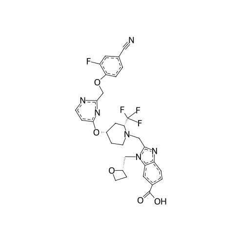 N#Cc1ccc(OCc2nccc(O[C@H]3CCN(Cc4nc5ccc(C(=O)O)cc5n4C[C@@H]4CCO4)[C@@H](C(F)(F)F)C3)n2)c(F)c1